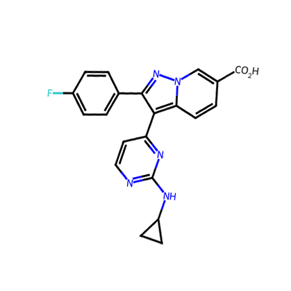 O=C(O)c1ccc2c(-c3ccnc(NC4CC4)n3)c(-c3ccc(F)cc3)nn2c1